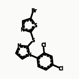 Clc1ccc(-n2ccnc2Sc2ncc(Br)s2)c(Cl)c1